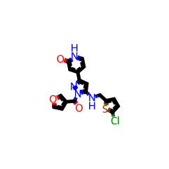 O=C(c1ccoc1)n1nc(-c2cc[nH]c(=O)c2)cc1NCc1ccc(Cl)s1